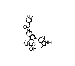 Cc1cc(CC(=O)N2CCc3c(cc(-c4cnc5[nH]cc(C)c5c4)cc3C3CCCN3C(=O)O)C2)ccn1